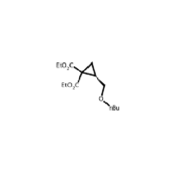 CCCCOC[C@@H]1CC1(C(=O)OCC)C(=O)OCC